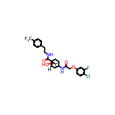 O=C(COc1ccc(Cl)c(F)c1)NC12CCC(C(=O)NCCc3ccc(C(F)(F)F)cc3)(CC1)[C@@H](O)C2